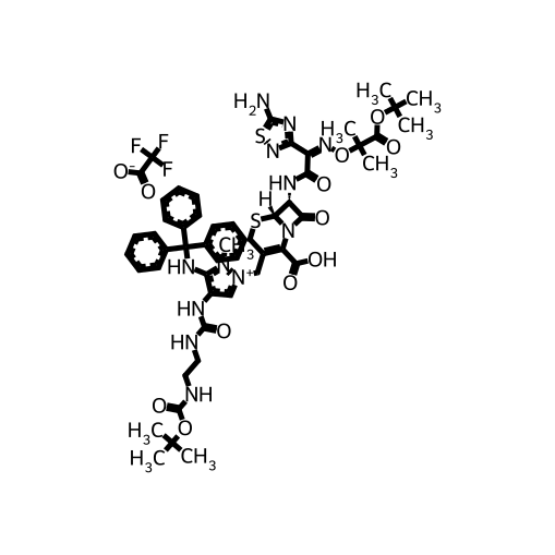 Cn1c(NC(c2ccccc2)(c2ccccc2)c2ccccc2)c(NC(=O)NCCNC(=O)OC(C)(C)C)c[n+]1CC1=C(C(=O)O)N2C(=O)[C@@H](NC(=O)/C(=N\OC(C)(C)C(=O)OC(C)(C)C)c3nsc(N)n3)[C@H]2SC1.O=C([O-])C(F)(F)F